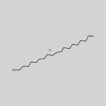 CCCCCCCCCCCCCCCCCCCCCCCCCCCO.[C]